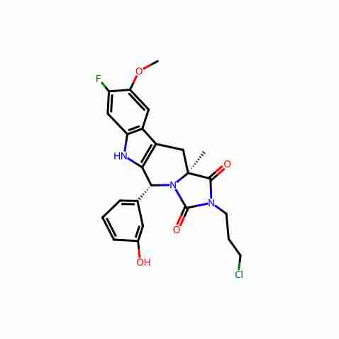 COc1cc2c3c([nH]c2cc1F)[C@@H](c1cccc(O)c1)N1C(=O)N(CCCCl)C(=O)[C@]1(C)C3